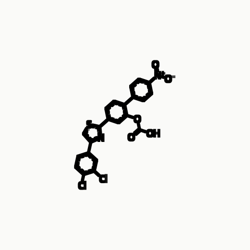 O=C(O)Oc1cc(-c2nc(-c3ccc(Cl)c(Cl)c3)cs2)ccc1-c1ccc([N+](=O)[O-])cc1